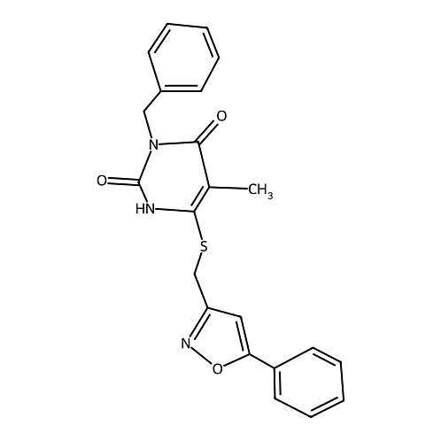 Cc1c(SCc2cc(-c3ccccc3)on2)[nH]c(=O)n(Cc2ccccc2)c1=O